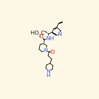 C=Cc1cncc([C@H](CC(=O)O)NC(=O)[C@@H]2CCCN(C(=O)CCC3CCNCC3)C2)c1